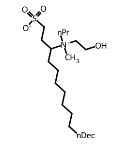 CCCCCCCCCCCCCCCCCC(CCS(=O)(=O)[O-])[N+](C)(CCC)CCO